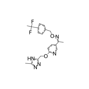 CC(=NOCc1ccc(C(C)(F)F)cc1)c1ccc(OCc2nnc(C)[nH]2)nc1